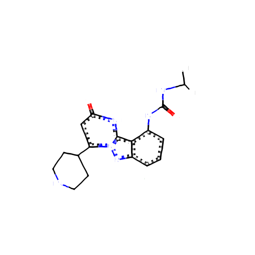 CC(C)NC(=O)Nc1cccc2nn3c(C4CCNCC4)cc(=O)[nH]c3c12.Cl